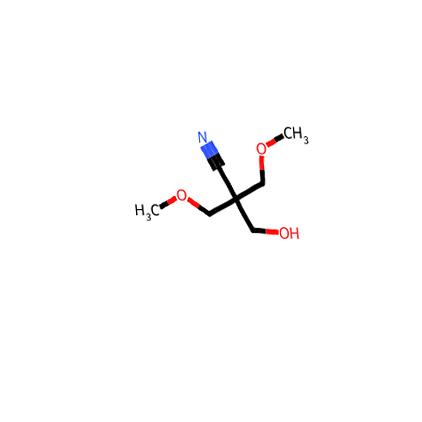 COCC(C#N)(CO)COC